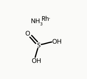 N.O=S(O)O.[Rh]